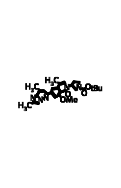 COc1cc(-c2cc(C)c3nc(C)cn3n2)cc2c(C)cn(C3CCN(C(=O)OC(C)(C)C)C3)c(=O)c12